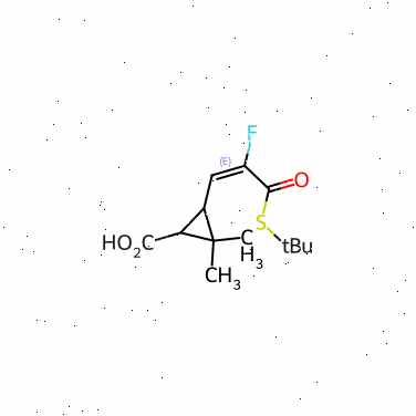 CC(C)(C)SC(=O)/C(F)=C\C1C(C(=O)O)C1(C)C